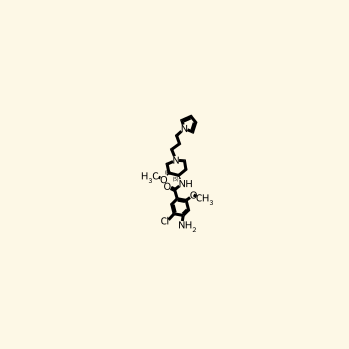 COc1cc(N)c(Cl)cc1C(=O)N[C@H]1CCN(CCCn2cccc2)C[C@H]1OC